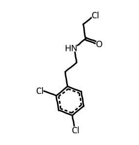 O=C(CCl)NCCc1ccc(Cl)cc1Cl